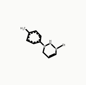 CCN1C=CCN(c2ccc(C)cc2)N1